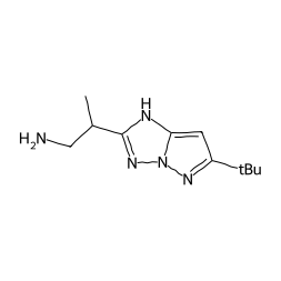 CC(CN)c1nn2nc(C(C)(C)C)cc2[nH]1